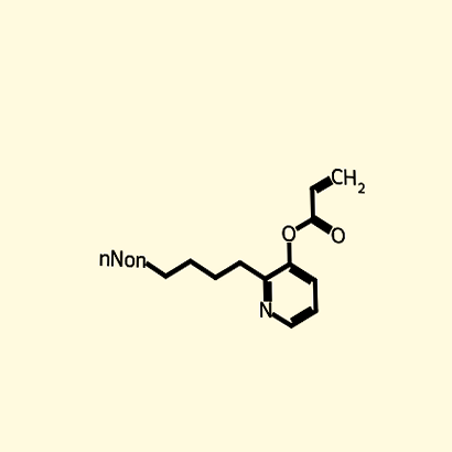 C=CC(=O)Oc1cccnc1CCCCCCCCCCCCC